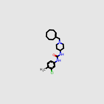 Cc1ccc(NC(=O)NC2CCN(CC3=CCCCCCC3)CC2)cc1Cl